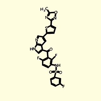 Cc1nc(-c2ccc(-c3cnc4[nH]cc(C(=O)c5c(F)ccc(NS(=O)(=O)c6cccc(F)c6)c5F)c4c3)s2)no1